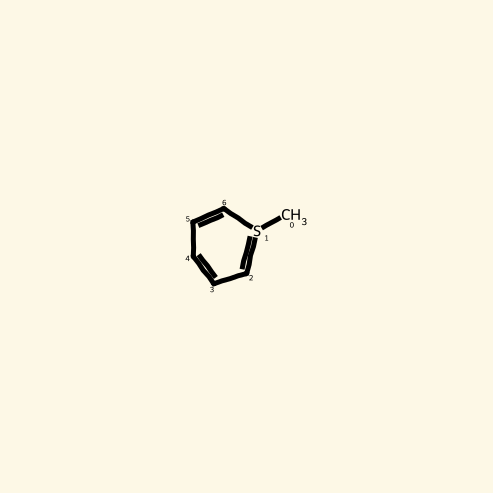 CS1=CC=CC=C1